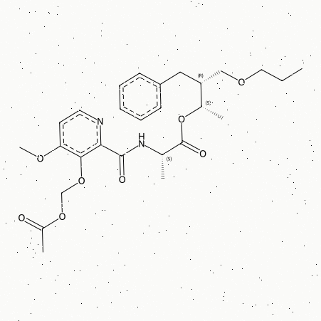 CCCOC[C@@H](Cc1ccccc1)[C@H](C)OC(=O)[C@H](C)NC(=O)c1nccc(OC)c1OCOC(C)=O